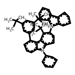 CC(C)(C)c1cc(-c2cccc3c2c2c(C(C)(C)C)c(-n4c5ccccc5c5ccccc54)ccc2n3-c2ccccc2)cc(C(C)(C)C)c1